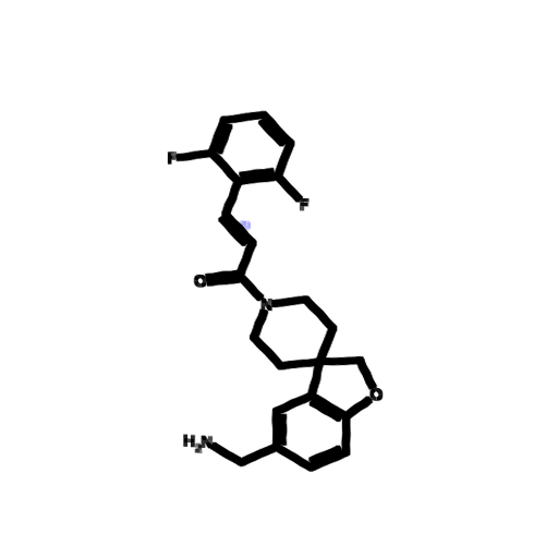 NCc1ccc2c(c1)C1(CCN(C(=O)/C=C/c3c(F)cccc3F)CC1)CO2